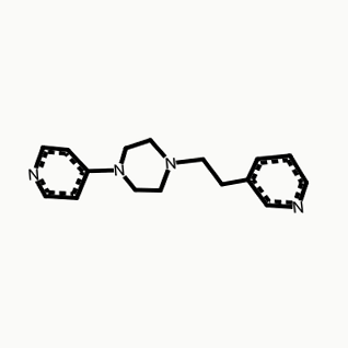 c1cncc(CCN2CCN(c3ccncc3)CC2)c1